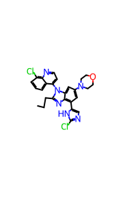 CCCc1nc2c(-c3cnc(Cl)[nH]3)cc(N3CCOCC3)cc2n1-c1ccnc2c(Cl)cccc12